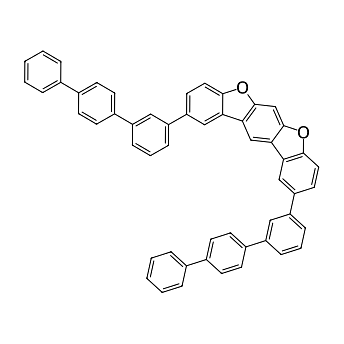 c1ccc(-c2ccc(-c3cccc(-c4ccc5oc6cc7oc8ccc(-c9cccc(-c%10ccc(-c%11ccccc%11)cc%10)c9)cc8c7cc6c5c4)c3)cc2)cc1